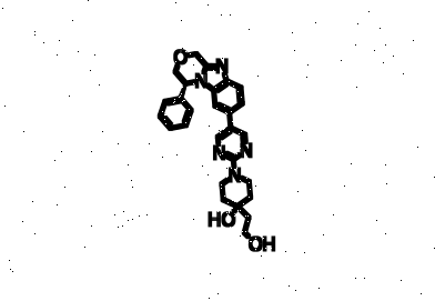 OCCC1(O)CCN(c2ncc(-c3ccc4nc5n(c4c3)[C@@H](c3ccccc3)COC5)cn2)CC1